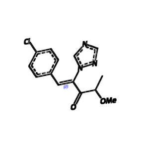 COC(C)C(=O)/C(=C/c1ccc(Cl)cc1)n1cncn1